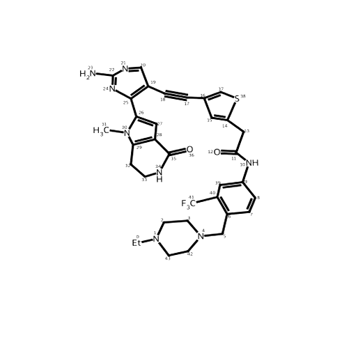 CCN1CCN(Cc2ccc(NC(=O)Cc3cc(C#Cc4cnc(N)nc4-c4cc5c(n4C)CCNC5=O)cs3)cc2C(F)(F)F)CC1